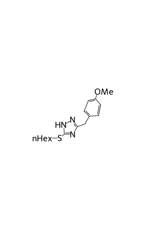 CCCCCCSc1nc(Cc2ccc(OC)cc2)n[nH]1